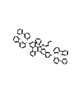 C=C(/C=C\C=C/C)C1(c2ccccc2)c2cc3cc(N(c4cccc(-c5ccccc5)c4)c4cccc5c4oc4ccccc45)ccc3cc2-c2c1c1ccc(N(c3cccc(-c4ccccc4)c3)c3cccc4c3oc3ccccc34)cc1c1ccccc21